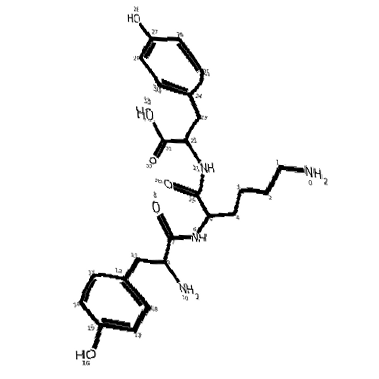 NCCCCC(NC(=O)C(N)Cc1ccc(O)cc1)C(=O)NC(Cc1ccc(O)cc1)C(=O)O